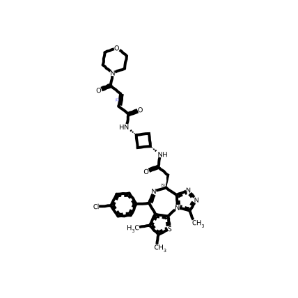 Cc1sc2c(c1C)C(c1ccc(Cl)cc1)=N[C@@H](CC(=O)N[C@H]1C[C@@H](NC(=O)/C=C/C(=O)N3CCOCC3)C1)c1nnc(C)n1-2